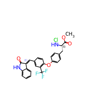 COC(=O)[C@H](Cc1ccc(Oc2ccc(/C=C3/C(=O)Nc4ccccc43)cc2C(F)(F)F)cc1)NCl